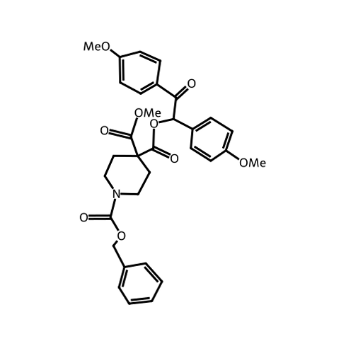 COC(=O)C1(C(=O)OC(C(=O)c2ccc(OC)cc2)c2ccc(OC)cc2)CCN(C(=O)OCc2ccccc2)CC1